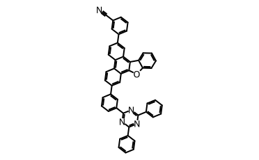 N#Cc1cccc(-c2ccc3c4ccc(-c5cccc(-c6nc(-c7ccccc7)nc(-c7ccccc7)n6)c5)cc4c4oc5ccccc5c4c3c2)c1